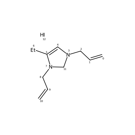 C=CCN1C=C(CC)N(CC=C)C1.I